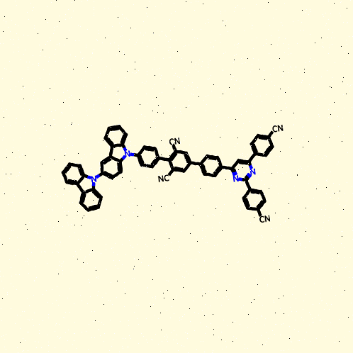 N#Cc1ccc(-c2cc(-c3ccc(-c4cc(C#N)c(-c5ccc(-n6c7ccccc7c7cc(-n8c9ccccc9c9ccccc98)ccc76)cc5)c(C#N)c4)cc3)nc(-c3ccc(C#N)cc3)n2)cc1